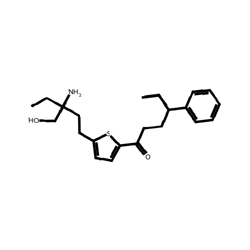 CCC(CCC(=O)c1ccc(CCC(N)(CC)CO)s1)c1ccccc1